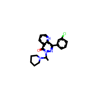 CC(N1CCCCC1)n1nc(-c2cccc(Cl)c2)c2ncccc2c1=O